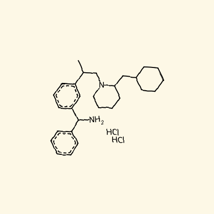 CC(CN1CCCCC1CC1CCCCC1)c1cccc(C(N)c2ccccc2)c1.Cl.Cl